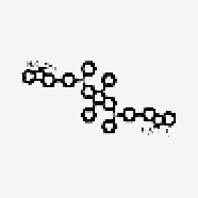 CC1(C)C2=C(C=CCC2)c2ccc(-c3ccc(N(c4ccccc4)c4ccc5c(-c6ccccc6)c6c(c(-c7ccccc7)c5c4)=CCC(N(C4=CC=CCC4)c4ccc(-c5ccc7c(c5)C(C)(C)c5ccccc5-7)cc4)C=6)cc3)cc21